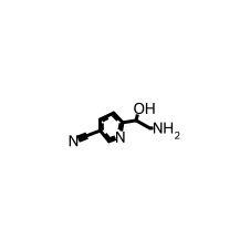 N#Cc1ccc(C(O)CN)nc1